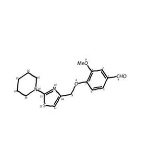 COc1cc(C=O)ccc1OCc1csc(N2CCCCC2)n1